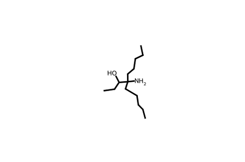 CCCCCC(N)(CCCCC)C(O)CC